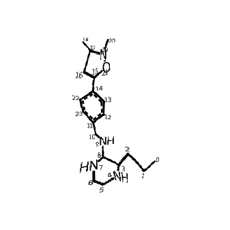 CCCC1NCCNC1NCc1ccc(C2CC(C)N(C)O2)cc1